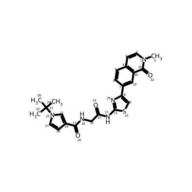 Cn1ccc2ccc(-c3csc(NC(=O)CNC(=O)c4ccn(C(C)(C)C)c4)n3)cc2c1=O